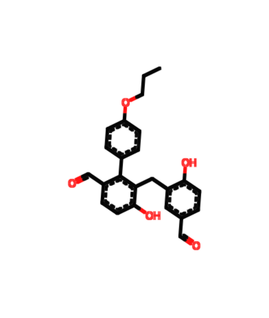 CCCOc1ccc(-c2c(C=O)ccc(O)c2Cc2cc(C=O)ccc2O)cc1